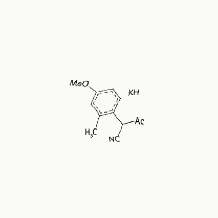 COc1ccc(C(C#N)C(C)=O)c(C)c1.[KH]